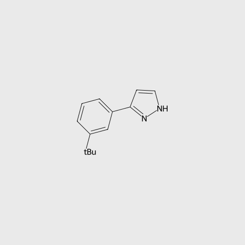 CC(C)(C)c1cccc(-c2cc[nH]n2)c1